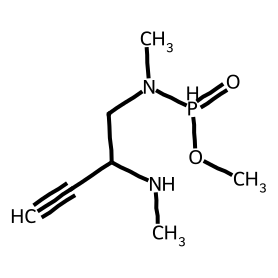 C#CC(CN(C)[PH](=O)OC)NC